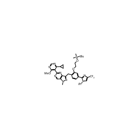 COc1ncnc(C2CC2)c1-c1ncc2c(n1)c(Cc1ccc(-c3nc(C(F)(F)F)cn3C(C)C)cc1OCCO[Si](C)(C)C(C)(C)C)nn2C